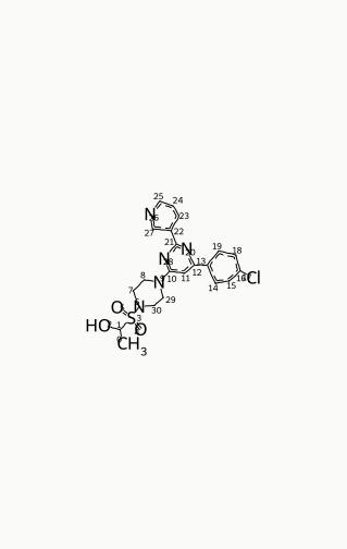 CC(O)S(=O)(=O)N1CCN(c2cc(-c3ccc(Cl)cc3)nc(-c3cccnc3)n2)CC1